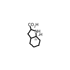 O=C(O)C1CC2CCCC[C@@H]2N1